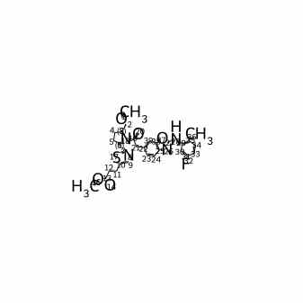 COC[C@@H]1CC[C@@H](c2ncc(CCC(=O)OC)s2)N1C(=O)Cc1ccc2nc(Nc3cc(F)ccc3C)oc2c1